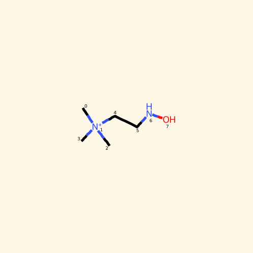 C[N+](C)(C)CCNO